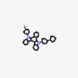 Ic1ccc(-n2c3ccccc3c3c4c5ccccc5n(-c5ccc(-c6ccccc6)cc5)c4c4ccccc4c32)cc1